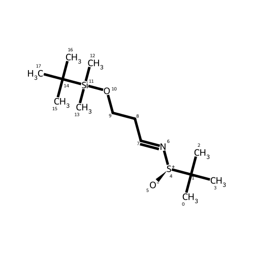 CC(C)(C)[S@@+]([O-])N=CCCO[Si](C)(C)C(C)(C)C